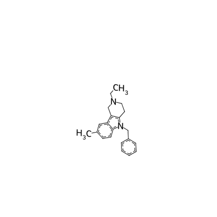 CCN1CCc2c(c3cc(C)ccc3n2Cc2ccccc2)C1